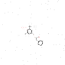 CC(C)(C)c1cc(CSC(C=O)Cc2ccccc2)cc(C(C)(C)C)c1O